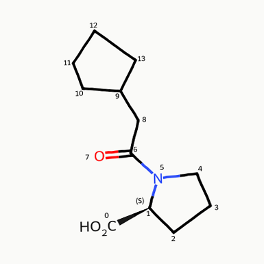 O=C(O)[C@@H]1CCCN1C(=O)CC1CCCC1